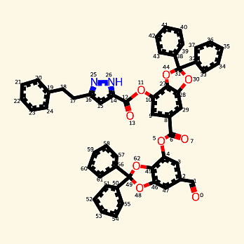 O=Cc1cc(OC(=O)c2cc(OC(=O)c3cc(CCc4ccccc4)n[nH]3)c3c(c2)OC(c2ccccc2)(c2ccccc2)O3)c2c(c1)OC(c1ccccc1)(c1ccccc1)O2